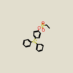 CCS(=O)(=O)Oc1ccc([S+](c2ccccc2)c2ccccc2)cc1